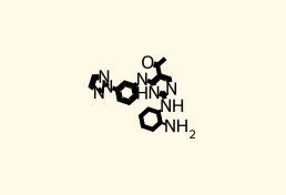 CC(=O)c1cnc(N[C@@H]2CCCC[C@@H]2N)nc1Nc1cccc(-n2nccn2)c1